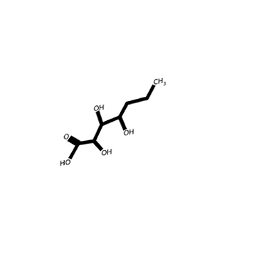 CCCC(O)C(O)C(O)C(=O)O